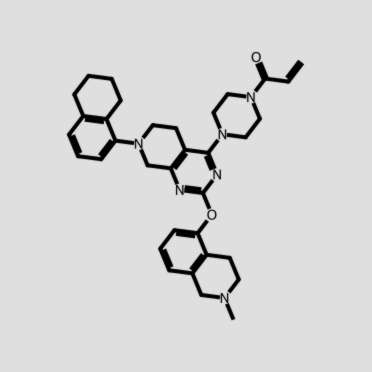 C=CC(=O)N1CCN(c2nc(Oc3cccc4c3CCN(C)C4)nc3c2CCN(c2cccc4c2CCCC4)C3)CC1